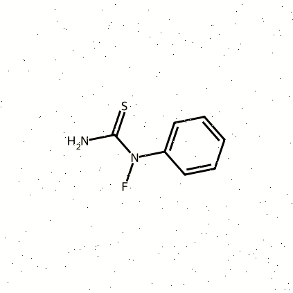 NC(=S)N(F)c1ccccc1